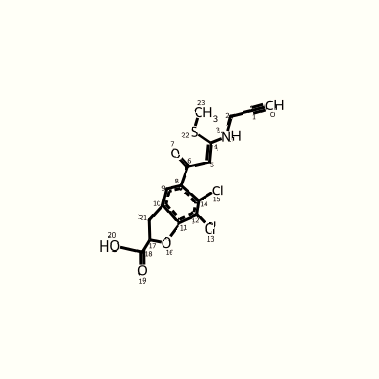 C#CCNC(=CC(=O)c1cc2c(c(Cl)c1Cl)OC(C(=O)O)C2)SC